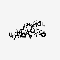 COCCCN1C(=O)C(C)(C)Oc2ccc(N(C(=O)[C@@H]3C[C@H](C(=O)NCC4(O)CCCCC4)CN(C(=O)OC(C)(C)C)C3)C3CC3)cc21